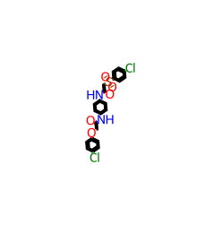 O=C(COc1ccc(Cl)cc1)N[C@H]1CC[C@H](NC(=O)CS(=O)(=O)c2ccc(Cl)cc2)CC1